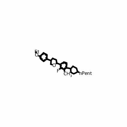 CCCCCC1CCC(c2ccc(C3CCC(c4ccc(OCC)cc4)CO3)c(F)c2C)CC1